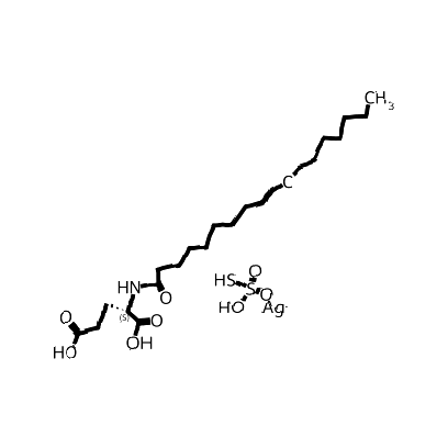 CCCCCCCCCCCCCCCCCC(=O)N[C@@H](CCC(=O)O)C(=O)O.O=S(=O)(O)S.[Ag]